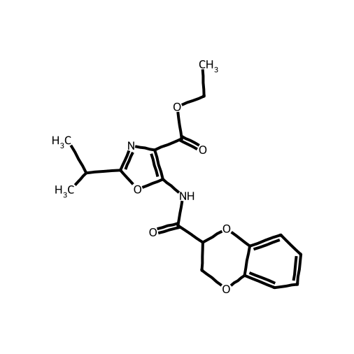 CCOC(=O)c1nc(C(C)C)oc1NC(=O)C1COc2ccccc2O1